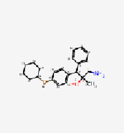 CC(O)(CN)C(c1ccccc1)c1ccc(SC2CCCCC2)cc1